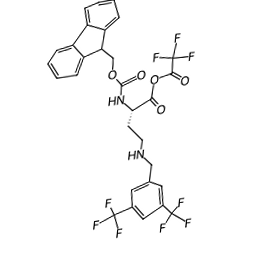 O=C(N[C@@H](CCNCc1cc(C(F)(F)F)cc(C(F)(F)F)c1)C(=O)OC(=O)C(F)(F)F)OCC1c2ccccc2-c2ccccc21